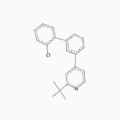 CC(C)(C)c1cc(-c2cccc(-c3cc[c]cc3Cl)c2)ccn1